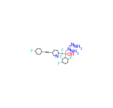 N/N=C\N(N)CC(O)(c1cc(F)ccc1F)C(F)(F)c1ccc(C#Cc2ccc(F)cc2)cn1